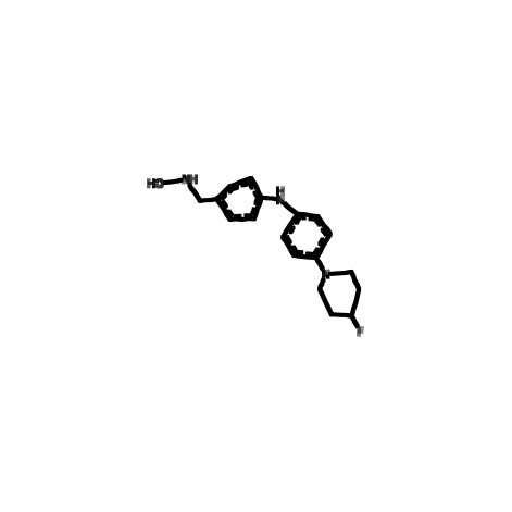 ONCc1ccc(Nc2ccc(N3CCC(F)CC3)cc2)cc1